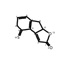 O=C1C=C2C3=C(C=CCC3=S)CC2O1